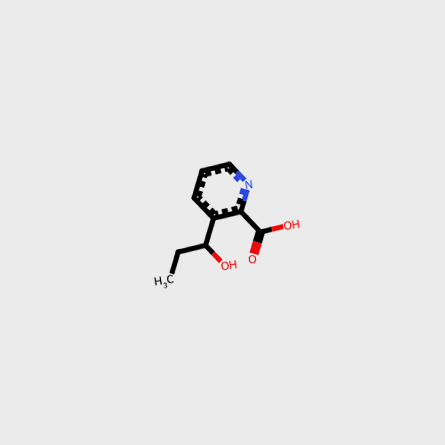 CCC(O)c1cccnc1C(=O)O